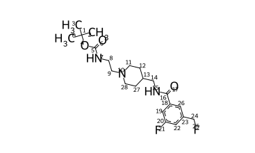 CC(C)(C)OC(=O)NCCN1CCC(CNC(=O)c2cc(F)cc(CF)c2)CC1